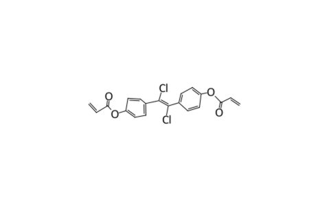 C=CC(=O)Oc1ccc(C(Cl)=C(Cl)c2ccc(OC(=O)C=C)cc2)cc1